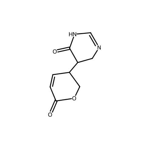 O=C1C=CC(C2CN=CNC2=O)CO1